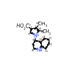 Cc1c(C(=O)O)cn(-c2ccnc3ccccc23)c1C